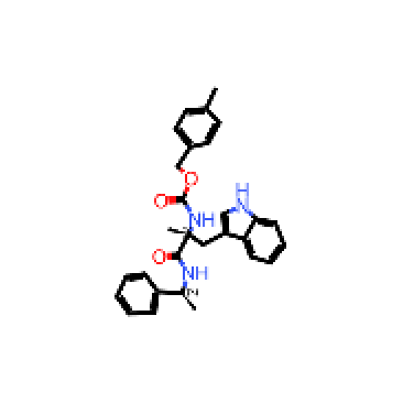 Cc1ccc(COC(=O)N[C@](C)(Cc2c[nH]c3ccccc23)C(=O)N[C@@H](C)c2ccccc2)cc1